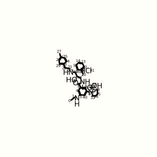 CCNc1cc(C(=O)N[C@@H](Cc2ccccc2)[C@H](O)CNCCc2ccc(C)cc2)cc(N2CCCCS2(O)O)c1.Cl